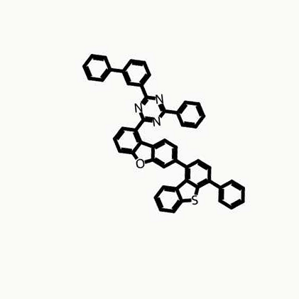 c1ccc(-c2cccc(-c3nc(-c4ccccc4)nc(-c4cccc5oc6cc(-c7ccc(-c8ccccc8)c8sc9ccccc9c78)ccc6c45)n3)c2)cc1